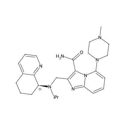 CC(C)N(Cc1nc2cccc(N3CCN(C)CC3)n2c1C(N)=O)[C@H]1CCCc2cccnc21